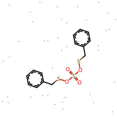 O=S(=O)(OSCc1ccccc1)OSCc1ccccc1